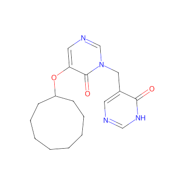 O=c1[nH]cncc1Cn1cncc(OC2CCCCCCCC2)c1=O